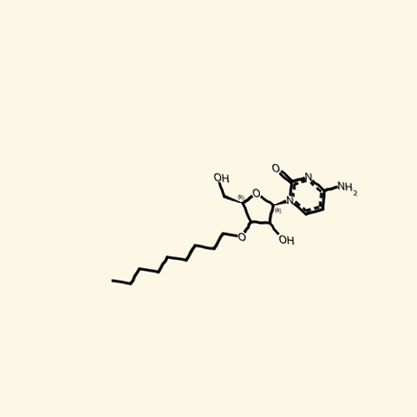 CCCCCCCCCOC1C(O)[C@H](n2ccc(N)nc2=O)O[C@@H]1CO